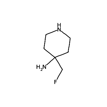 NC1(CF)CCNCC1